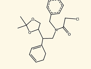 CC1(C)OCC(C(CN(Cc2ccccc2)C(=O)CCl)C2=CC=CCC2)O1